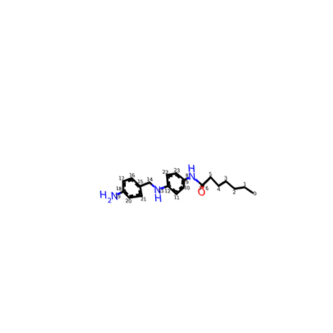 CCCCCCC(=O)Nc1ccc(NCc2ccc(N)cc2)cc1